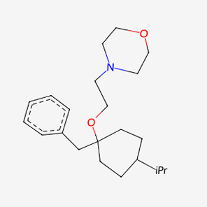 CC(C)C1CCC(Cc2ccccc2)(OCCN2CCOCC2)CC1